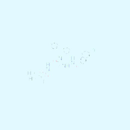 CC(C)(C)OC(=O)NCCC[C@@H]1NC(CNC(=O)c2ccc3cc(Br)ccc3c2)CCN(CC(c2ccccc2)c2ccccc2)C1=O